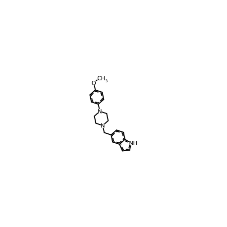 COc1ccc(N2CCN(Cc3ccc4[nH]ccc4c3)CC2)cc1